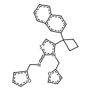 c1coc(C/N=c2\scc(C3(c4ccc5ccccc5c4)CCC3)n2Cc2ccco2)c1